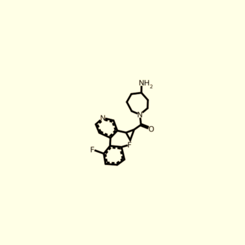 NC1CCCN(C(=O)C2CC2c2cnccc2-c2c(F)cccc2F)CC1